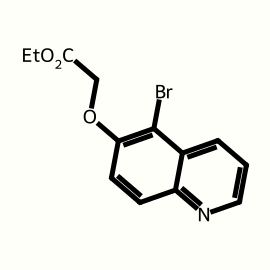 CCOC(=O)COc1ccc2ncccc2c1Br